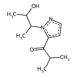 CC(C)C(=O)c1ccnn1C(C)C(C)O